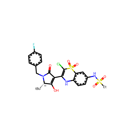 CCS(=O)(=O)Nc1ccc2c(c1)S(=O)(=O)C(Cl)=C(C1=C(O)[C@H](C(C)(C)C)N(Cc3ccc(F)cc3)C1=O)N2